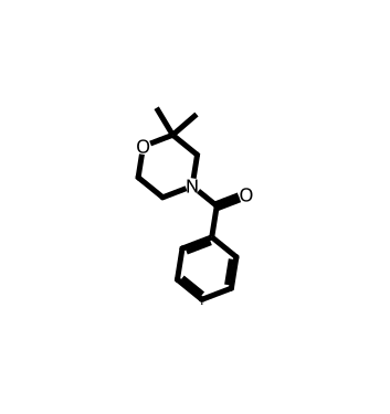 CC1(C)CN(C(=O)c2cc[c]cc2)CCO1